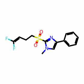 Cn1cc(-c2ccccc2)nc1S(=O)(=O)CCC=C(F)F